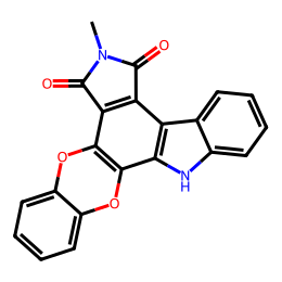 Cn1c(=O)c2c3oc4ccccc4oc3c3[nH]c4ccccc4c3c2c1=O